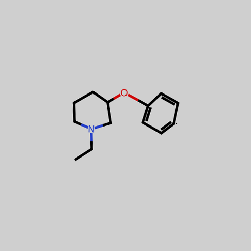 CCN1CCCC(Oc2cc[c]cc2)C1